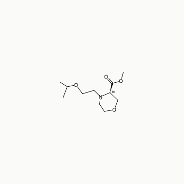 COC(=O)[C@H]1COCCN1CCOC(C)C